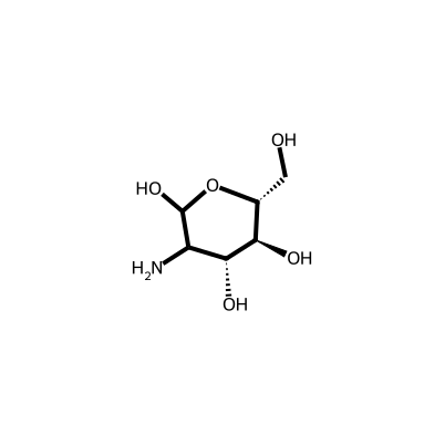 NC1C(O)O[C@H](CO)[C@@H](O)[C@@H]1O